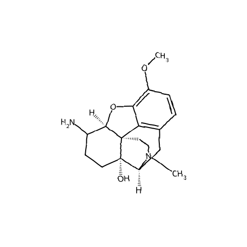 COc1ccc2c3c1O[C@@H]1C(N)CC[C@]4(O)[C@H](C2)N(C)CC[C@@]314